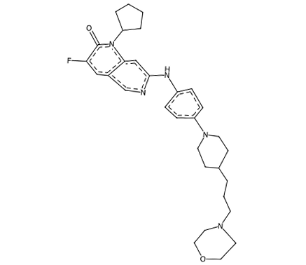 O=c1c(F)cc2cnc(Nc3ccc(N4CCC(CCCN5CCOCC5)CC4)cc3)cc2n1C1CCCC1